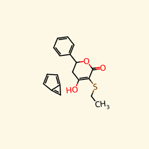 CCSC1=C(O)CC(c2ccccc2)OC1=O.c1cc2cc-2c1